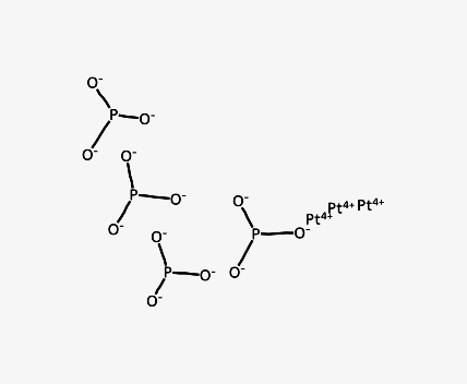 [O-]P([O-])[O-].[O-]P([O-])[O-].[O-]P([O-])[O-].[O-]P([O-])[O-].[Pt+4].[Pt+4].[Pt+4]